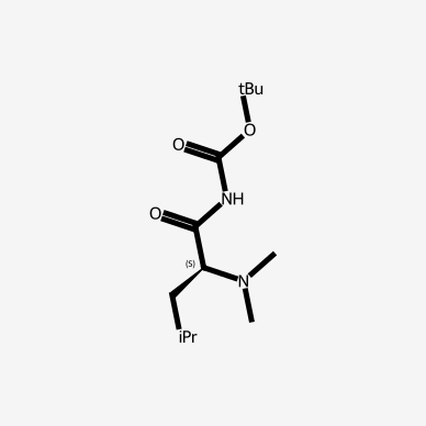 CC(C)C[C@@H](C(=O)NC(=O)OC(C)(C)C)N(C)C